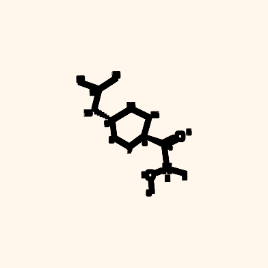 CON(C)C(=O)[C@H]1CC[C@H](CC(C)C)CC1